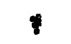 COc1cccc(C2(O)C(CN3CCCCC3)CCCC2CN2CCCCC2)c1